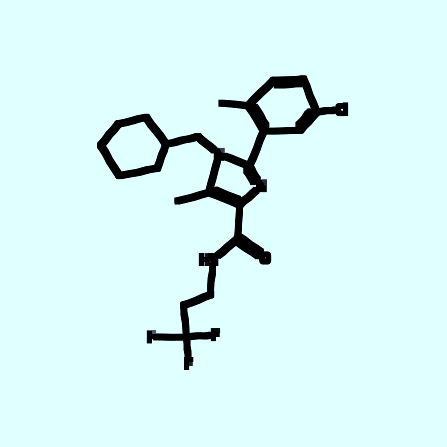 Cc1ccc(Cl)cc1-c1nc(C(=O)NCCC(F)(F)F)c(C)n1CC1CCCCC1